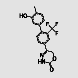 Cc1ccc(-c2ccc(C3=NNC(=O)OC3)cc2C(F)(F)F)cc1O